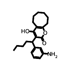 CCCCC(c1cccc(N)c1)c1c(O)c2c(oc1=O)CCCCCC2